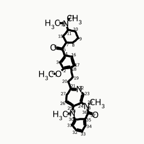 COc1cc(C(=O)C2CCCC(N(C)C)C2)ccc1CCC1=NC=C2C(=CC1)N(C)c1ccccc1C(=O)N2C